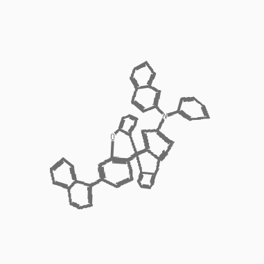 c1ccc(N(c2ccc3c(c2)C2(c4ccccc4Oc4cc(-c5cccc6ccccc56)ccc42)c2ccccc2-3)c2ccc3ccccc3c2)cc1